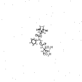 CN1[C@@H]2CC[C@H]1C[C@@H](OC(=O)C(COC(=O)CC(O)(CC(=O)O)C(=O)O)c1ccccc1)C2